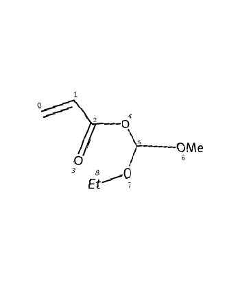 C=CC(=O)OC(OC)OCC